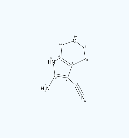 N#Cc1c(N)[nH]c2c1CCOC2